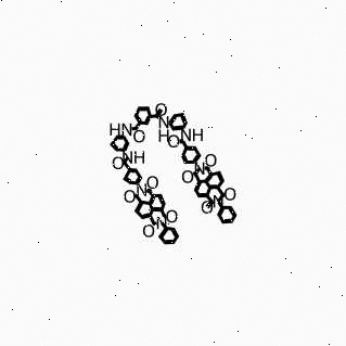 O=C(Nc1cccc(NC(=O)c2cccc(C(=O)Nc3cccc(NC(=O)c4ccc(N5C(=O)c6ccc7c8c(ccc(c68)C5=O)C(=O)N(c5ccccc5)C7=O)cc4)c3)c2)c1)c1ccc(N2C(=O)c3ccc4c5c(ccc(c35)C2=O)C(=O)N(c2ccccc2)C4=O)cc1